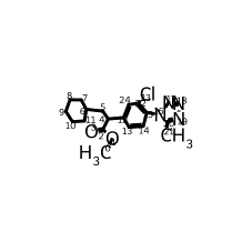 COC(=O)C(CC1CCCCC1)c1ccc(-n2nnnc2C)c(Cl)c1